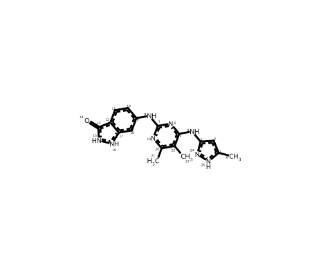 Cc1cc(Nc2nc(Nc3ccc4c(=O)[nH][nH]c4c3)nc(C)c2C)n[nH]1